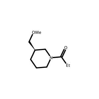 CCC(=O)N1CCC[C@@H](COC)C1